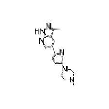 Cc1n[nH]c2ncc(-c3ccc(N4CCN(C)CC4)cn3)cc12